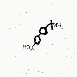 CC(C)(N)Cc1ccc(-c2ccc(C(=O)O)cc2)cc1